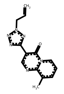 C=CCn1nnc(-c2cnc3c(C)cccn3c2=O)n1